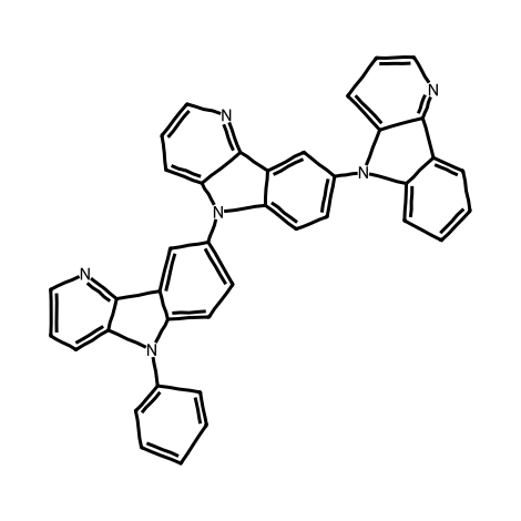 c1ccc(-n2c3ccc(-n4c5ccc(-n6c7ccccc7c7ncccc76)cc5c5ncccc54)cc3c3ncccc32)cc1